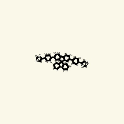 c1ccc(C2(c3ccccc3)c3cc(-c4ccc(-c5cncs5)cc4)ccc3-c3ccc(-c4ccc(-c5cncs5)cc4)cc32)cc1